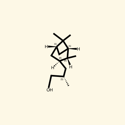 C[C@H](CO)C[C@H]1C[C@H]2C[C@@H]([C@@H]1C)C2(C)C